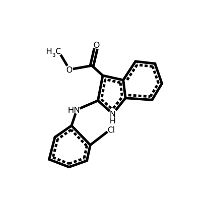 COC(=O)c1c(Nc2ccccc2Cl)[nH]c2ccccc12